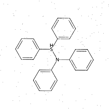 c1ccc(N(c2ccccc2)[SH](c2ccccc2)c2ccccc2)cc1